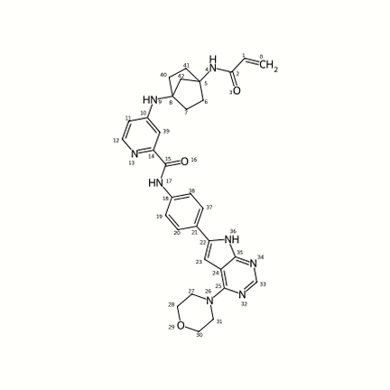 C=CC(=O)NC12CCC(Nc3ccnc(C(=O)Nc4ccc(-c5cc6c(N7CCOCC7)ncnc6[nH]5)cc4)c3)(CC1)C2